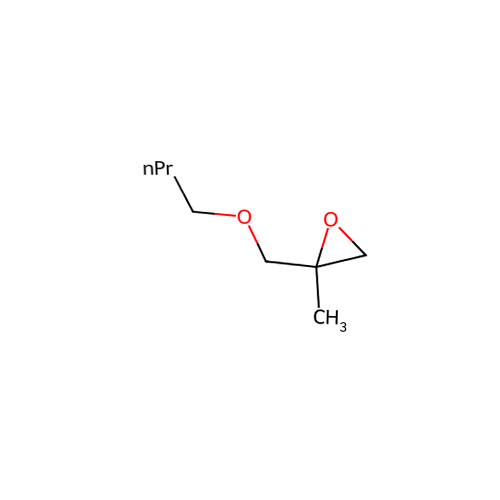 CCCCOCC1(C)CO1